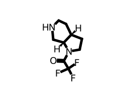 O=C(N1CC[C@H]2CCNC[C@H]21)C(F)(F)F